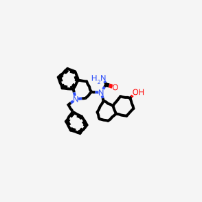 NC(=O)N(C1Cc2ccccc2N(Cc2ccccc2)C1)C1CCCC2CCC(O)CC21